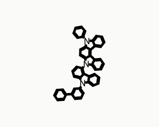 c1ccc(-c2cccc(-n3c4ccccc4c4c(-n5c6ccccc6c6c7c8ccccc8n(-c8ccccc8)c7ccc65)cccc43)c2)cc1